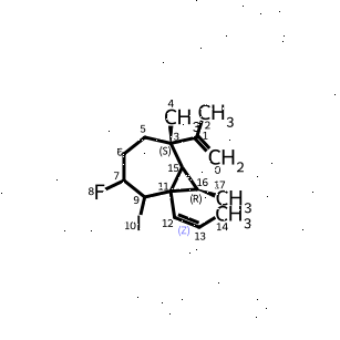 C=C(C)[C@@]1(C)CCC(F)C(I)C2(/C=C\C)C1[C@H]2C